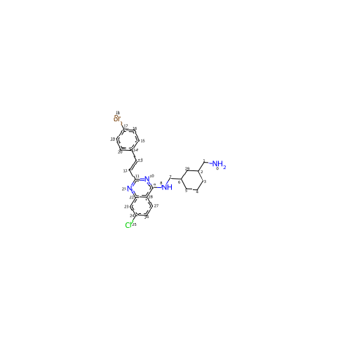 NCC1CCCC(CNc2nc(C=Cc3ccc(Br)cc3)nc3cc(Cl)ccc23)C1